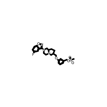 CS(=O)(=O)OCc1cccc(OCC2CCC3CN(c4noc5ccc(F)cc45)CCN3C2)c1